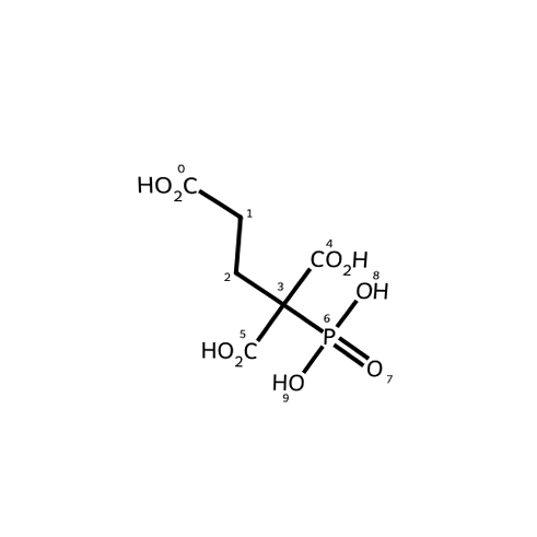 O=C(O)CCC(C(=O)O)(C(=O)O)P(=O)(O)O